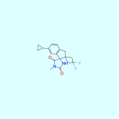 CN1C(=O)NC2(C1=O)c1cc(C3CC3)ccc1CC21CCC(F)(F)CC1